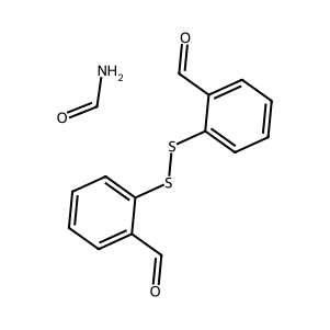 NC=O.O=Cc1ccccc1SSc1ccccc1C=O